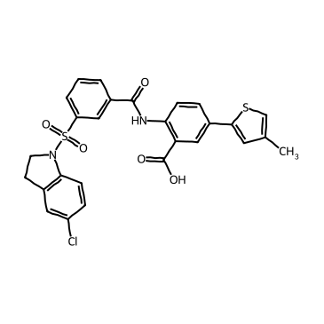 Cc1csc(-c2ccc(NC(=O)c3cccc(S(=O)(=O)N4CCc5cc(Cl)ccc54)c3)c(C(=O)O)c2)c1